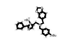 CCCCc1ccc(CN(Cc2ccc3c(c2)OCO3)Cc2cnc(-c3ccccc3)n2CCCC)cc1